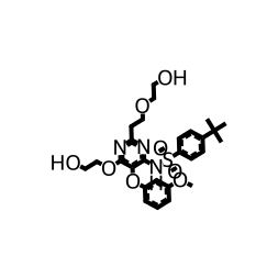 COc1cccc(Oc2c(NS(=O)(=O)c3ccc(C(C)(C)C)cc3)nc(CCOCCO)nc2OCCO)c1